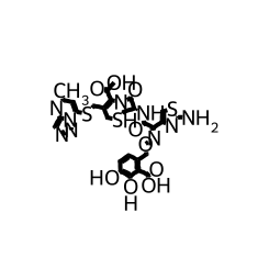 Cc1cc(SCC2=C(C(=O)O)N3C(=O)[C@@H](NC(=O)/C(=N\OCc4ccc(O)c(O)c4C(=O)O)c4csc(N)n4)[C@H]3SC2)n2nncc2n1